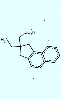 NCC1(CC(=O)O)Cc2ccc3ccccc3c2C1